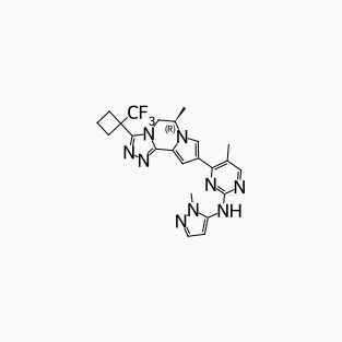 Cc1cnc(Nc2ccnn2C)nc1-c1cc2n(c1)[C@H](C)Cn1c-2nnc1C1(C(F)(F)F)CCC1